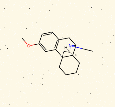 COc1ccc2c(c1)C13CCCC[C@@H]1C(C2)N(C)CC3